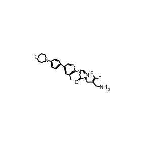 Cc1cc(-c2ccc(N3CCOCC3)cc2)cnc1-n1cnn(CC(CN)=C(F)F)c1=O